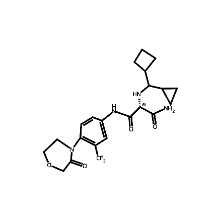 NC(=O)[C@@H](NC(C1CCC1)C1CC1)C(=O)Nc1ccc(N2CCOCC2=O)c(C(F)(F)F)c1